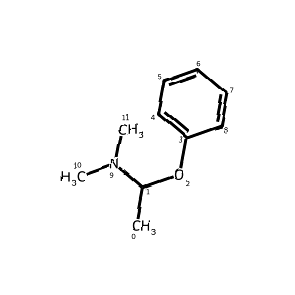 CC(Oc1cc[c]cc1)N(C)C